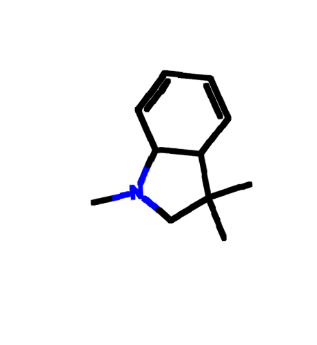 CN1CC(C)(C)C2C=CC=CC21